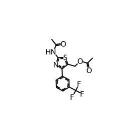 CC(=O)Nc1nc(-c2cccc(C(F)(F)F)c2)c(COC(C)=O)s1